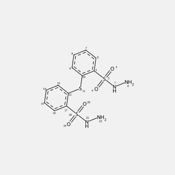 NNS(=O)(=O)c1ccccc1Sc1ccccc1S(=O)(=O)NN